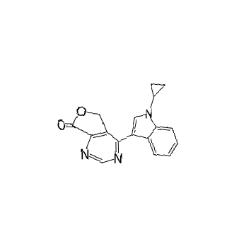 O=C1OCc2c1ncnc2-c1cn(C2CC2)c2ccccc12